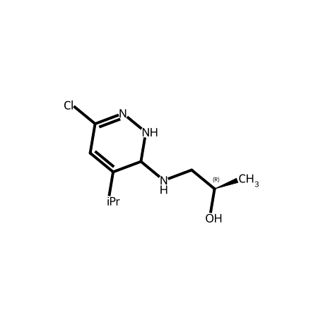 CC(C)C1=CC(Cl)=NNC1NC[C@@H](C)O